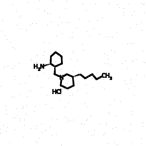 CCCCC[C@@H]1CCCN(C[C@@H]2CCCC[C@H]2N)C1.Cl